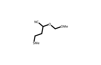 COCOC(C#N)CCSC